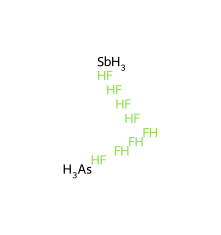 F.F.F.F.F.F.F.F.[AsH3].[SbH3]